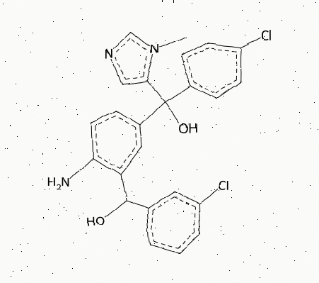 Cn1cncc1C(O)(c1ccc(Cl)cc1)c1ccc(N)c(C(O)c2cccc(Cl)c2)c1